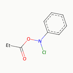 CCC(=O)ON(Cl)c1ccccc1